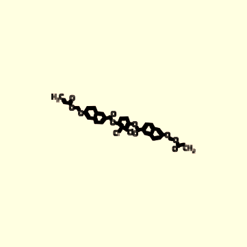 C=CC(=O)OCOc1ccc2cc(C(=O)Oc3ccc(OC(=O)c4ccc5cc(OCOC(=O)C=C)ccc5c4)c(Cl)c3Cl)ccc2c1